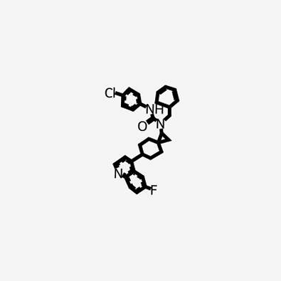 O=C(Nc1ccc(Cl)cc1)N(CC1C=CC=CC1)C1CC12CCC(c1ccnc3ccc(F)cc13)CC2